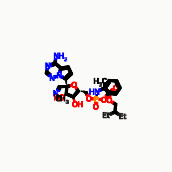 CCC(CC)COC(=O)[C@H](C)N[P@@](=O)(OC[C@H]1O[C@@](/C=N\C)(c2ccc3c(N)ncnn23)[C@H](O)[C@@H]1O)Oc1ccccc1